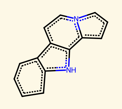 c1ccc2c(c1)[nH]c1c2ccn2cccc12